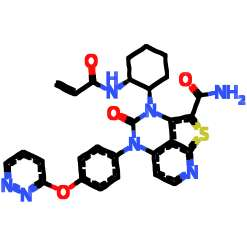 C=CC(=O)N[C@H]1CCCC[C@H]1N1C(=O)N(c2ccc(Oc3cccnn3)cc2)c2ccnc3sc(C(N)=O)c1c23